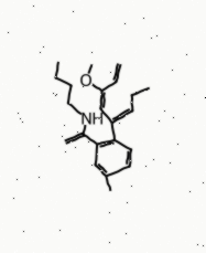 C=C/C(=C\C(=C/CC)c1ccc(C)cc1C(=C)NCCCC)OC